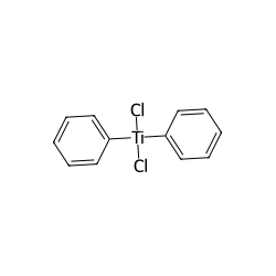 [Cl][Ti]([Cl])([c]1ccccc1)[c]1ccccc1